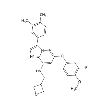 COc1ccc(Oc2cc(NCC3COC3)c3ncc(-c4ccc(C)c(C)c4)n3n2)cc1F